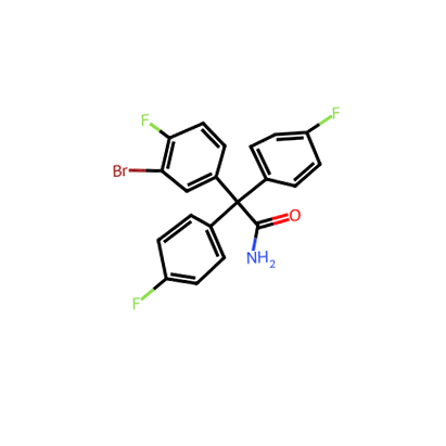 NC(=O)C(c1ccc(F)cc1)(c1ccc(F)cc1)c1ccc(F)c(Br)c1